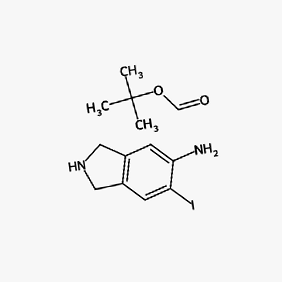 CC(C)(C)OC=O.Nc1cc2c(cc1I)CNC2